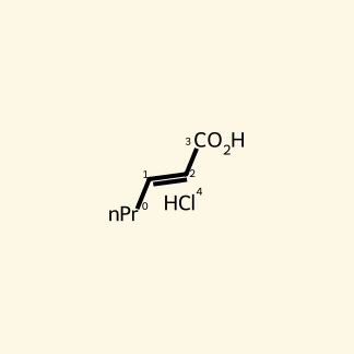 CCCC=CC(=O)O.Cl